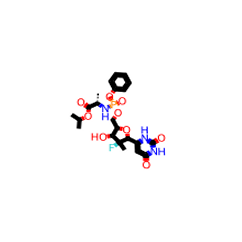 CC(C)OC(=O)[C@H](C)NP(=O)(OCC1OC(c2cc(=O)[nH]c(=O)[nH]2)C(C)(F)C1O)Oc1ccccc1